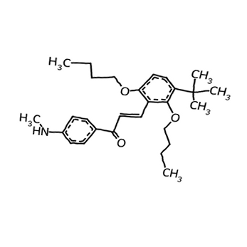 CCCCOc1ccc(C(C)(C)C)c(OCCCC)c1C=CC(=O)c1ccc(NC)cc1